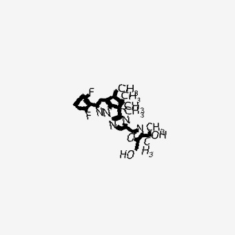 CCC1c2cc(-c3c(F)cccc3F)nnc2[C@](C)(c2cncc(-c3nc(C(C)(C)O)c(CO)o3)n2)C1(C)C